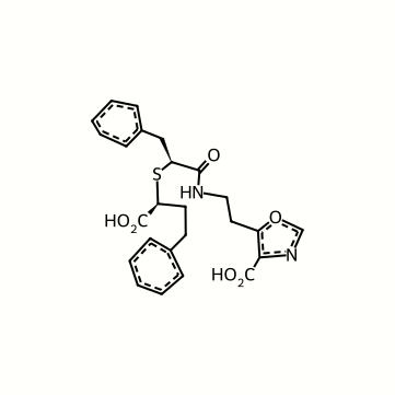 O=C(O)c1ncoc1CCNC(=O)[C@H](Cc1ccccc1)S[C@@H](CCc1ccccc1)C(=O)O